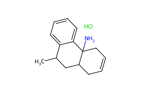 CC1CC2CC=CCC2(N)c2ccccc21.Cl